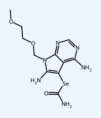 COCCOCn1c(N)c([Se]C(N)=O)c2c(N)ncnc21